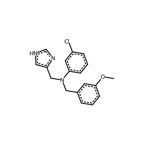 COc1cccc(CN(Cc2c[nH]cn2)c2cccc(Cl)c2)c1